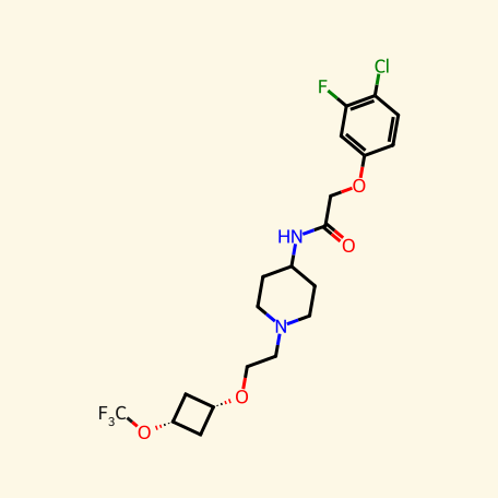 O=C(COc1ccc(Cl)c(F)c1)NC1CCN(CCO[C@H]2C[C@@H](OC(F)(F)F)C2)CC1